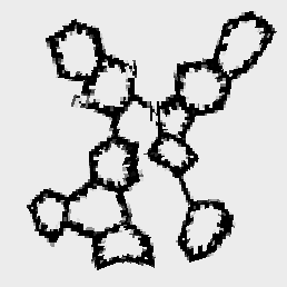 c1ccc(-c2ccc3c(c2)c2cc4ccccc4cc2n3-c2nc3ccccc3nc2-c2ccc3c4ccccc4c4ccccc4c3c2)cc1